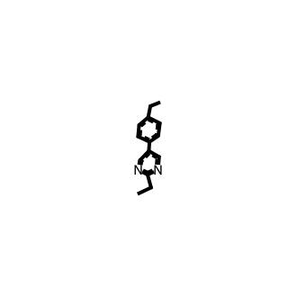 CCc1ccc(-c2cnc(CC)nc2)cc1